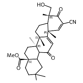 COC(=O)[C@]12CCC(C)(C)CC1C1C(=O)C=C3[C@@]4(C)C=C(C#N)C(=O)[C@@](C)(CO)C4CC[C@@]3(C)[C@]1(C)CC2